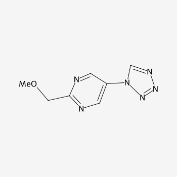 COCc1ncc(-n2cnnn2)cn1